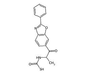 CC(NC(=O)S)C(=O)c1ccc2nc(-c3ccccc3)oc2c1